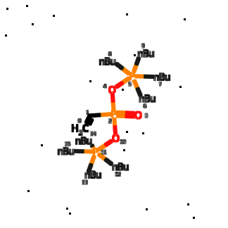 C=CP(=O)(OP(CCCC)(CCCC)(CCCC)CCCC)OP(CCCC)(CCCC)(CCCC)CCCC